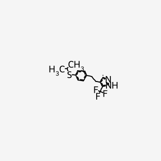 CC(C)Sc1ccc(CCc2[c]n[nH]c2C(F)(F)F)cc1